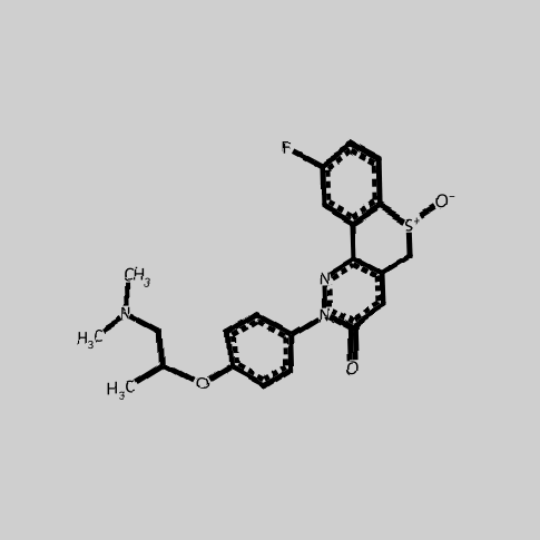 CC(CN(C)C)Oc1ccc(-n2nc3c(cc2=O)C[S+]([O-])c2ccc(F)cc2-3)cc1